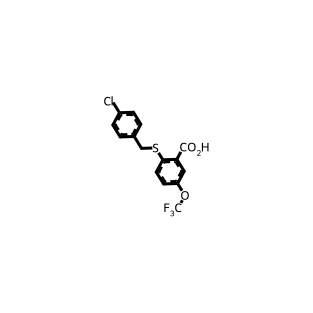 O=C(O)c1cc(OC(F)(F)F)ccc1SCc1ccc(Cl)cc1